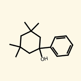 CC1(C)CC(C)(C)CC(O)(c2ccccc2)C1